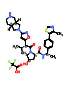 Cc1ncsc1-c1ccc([C@H](C)NC(=O)[C@@H]2C[C@@H](O)CN2C(=O)[C@@H](c2cc(N3C[C@H]4CNCC[C@H]4C3)no2)C(C)C)cc1.O=C(O)C(F)(F)F